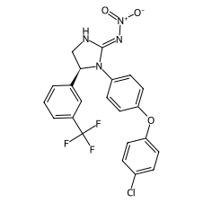 O=[N+]([O-])/N=C1\NC[C@H](c2cccc(C(F)(F)F)c2)N1c1ccc(Oc2ccc(Cl)cc2)cc1